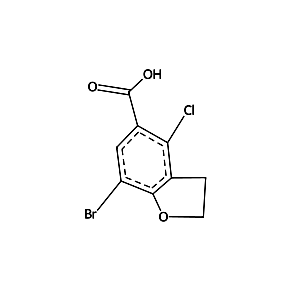 O=C(O)c1cc(Br)c2c(c1Cl)CCO2